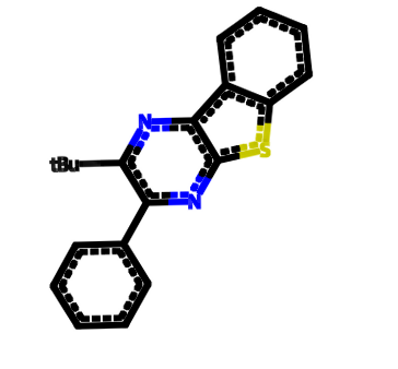 CC(C)(C)c1nc2c(nc1-c1ccccc1)sc1ccccc12